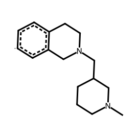 CN1CCCC(CN2CCc3cc[c]cc3C2)C1